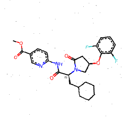 COC(=O)c1ccc(NC(=O)[C@H](CC2CCCCC2)N2CC(Oc3c(F)cccc3F)CC2=O)nc1